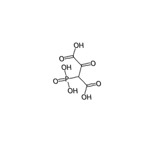 O=C(O)C(=O)C(C(=O)O)P(=O)(O)O